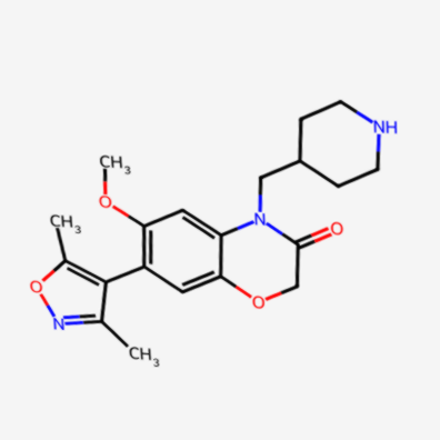 COc1cc2c(cc1-c1c(C)noc1C)OCC(=O)N2CC1CCNCC1